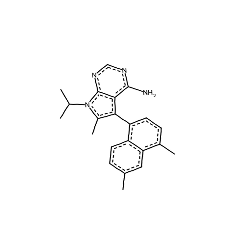 Cc1ccc2c(-c3c(C)n(C(C)C)c4ncnc(N)c34)ccc(C)c2c1